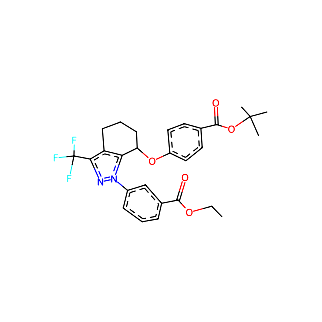 CCOC(=O)c1cccc(-n2nc(C(F)(F)F)c3c2C(Oc2ccc(C(=O)OC(C)(C)C)cc2)CCC3)c1